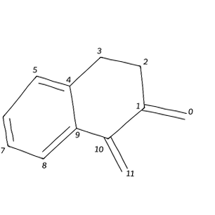 C=C1CCc2ccccc2C1=C